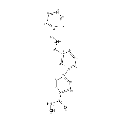 O=C(NO)c1ccc(-c2cccc(CNCc3ccncc3)c2)cc1